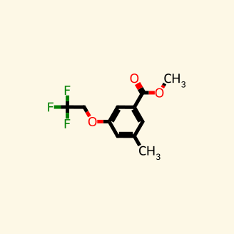 COC(=O)c1cc(C)cc(OCC(F)(F)F)c1